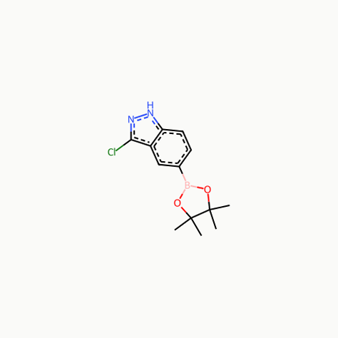 CC1(C)OB(c2ccc3[nH]nc(Cl)c3c2)OC1(C)C